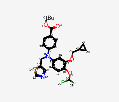 CC(C)(C)OC(=O)c1ccc(N(Cc2cncs2)c2ccc(OC(F)F)c(OCC3CC3)c2)cc1